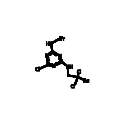 CC(=O)C(Cl)(Cl)CNc1nc(Cl)nc(NC(C)C)n1